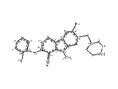 Cn1c2cc(CN3CCNCC3)c(F)cc2c2cnn(Cc3ccccc3F)c(=O)c21